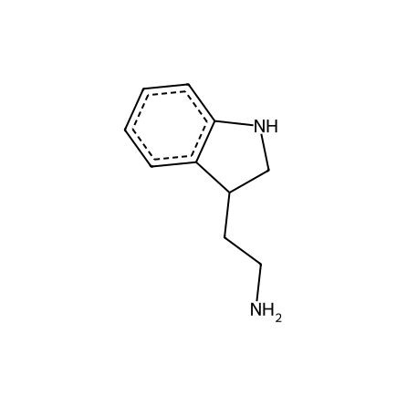 NCCC1CNc2ccccc21